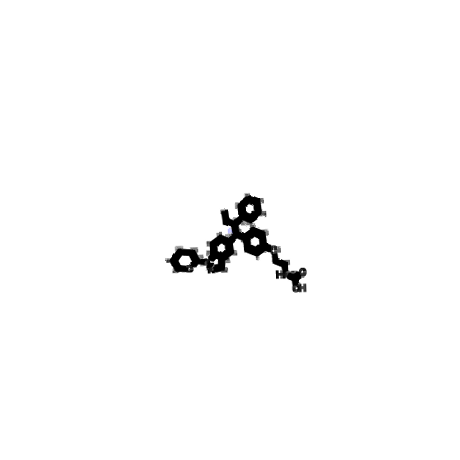 CC/C(=C(/c1ccc(OCCNC(=O)O)cc1)c1ccc2c(cnn2C2CCCCO2)c1)c1ccccc1